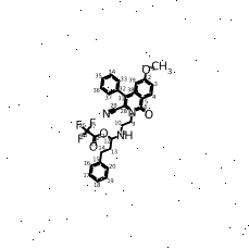 COc1ccc2c(=O)n(CCNC(CCc3ccccc3)OC(=O)C(F)(F)F)c(C#N)c(-c3ccccc3)c2c1